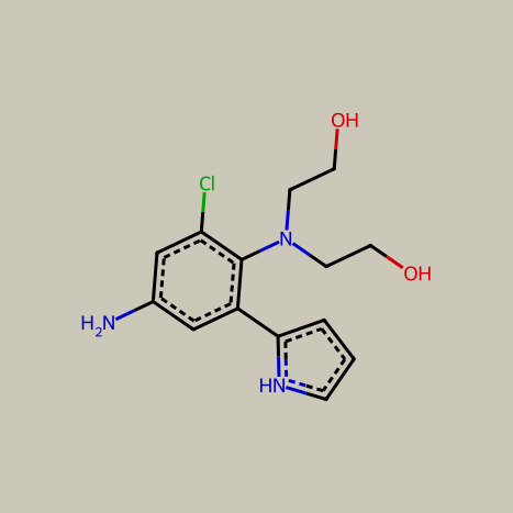 Nc1cc(Cl)c(N(CCO)CCO)c(-c2ccc[nH]2)c1